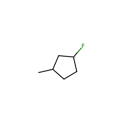 CC1CC[C](F)C1